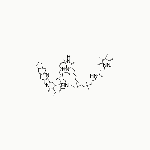 C=C(CCC1=CCC(C)(NC(=C)C(CCCCC)NC(=C)CCCC(=C)NCCC(C)(C)CCC(C)(C)CCCNC(=C)CCN2C(=C)C(C)=C(C)C(=C)N2C)C=C1)CC(C(=C)C)C1=C(CC)C(=C)N2Cc3cc4cc5c(cc4nc3C2=C1)CCC5